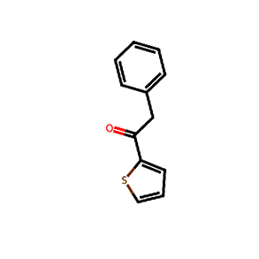 O=C(Cc1ccccc1)c1cccs1